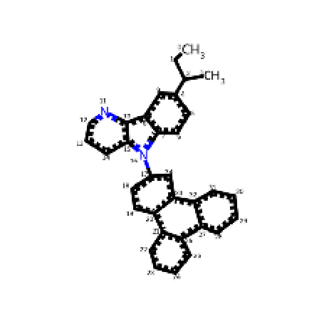 CCC(C)c1ccc2c(c1)c1ncccc1n2-c1ccc2c3ccccc3c3ccccc3c2c1